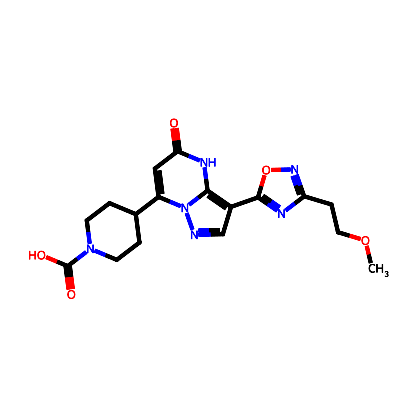 COCCc1noc(-c2cnn3c(C4CCN(C(=O)O)CC4)cc(=O)[nH]c23)n1